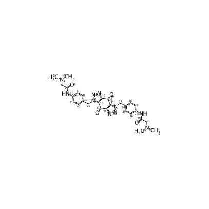 CN(C)CC(=O)Nc1ccc(Cn2nnc3c2C(=O)c2nnn(Cc4ccc(NC(=O)CN(C)C)cc4)c2C3=O)cc1